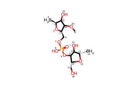 B[C@@H]1O[C@H](COP(=O)(O)OC2C(O)[C@H](B)O[C@@H]2CO)C(OC)C1O